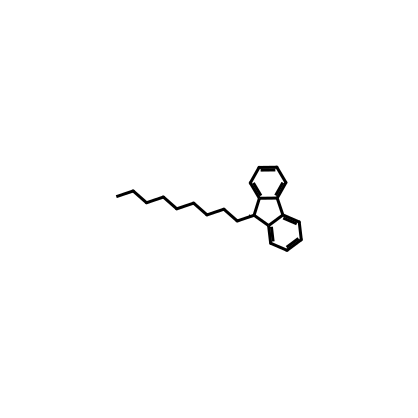 CCCCCCCCC[C]1c2ccccc2-c2ccccc21